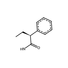 CC[C@H](C([NH])=O)c1ccccc1